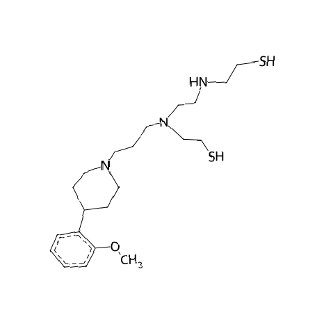 COc1ccccc1C1CCN(CCCN(CCS)CCNCCS)CC1